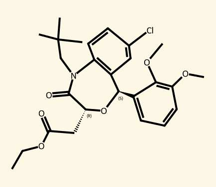 CCOC(=O)C[C@H]1O[C@H](c2cccc(OC)c2OC)c2cc(Cl)ccc2N(CC(C)(C)C)C1=O